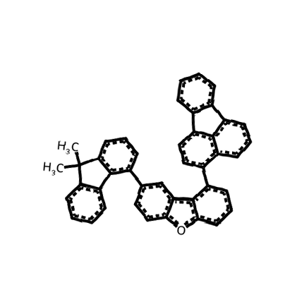 CC1(C)c2ccccc2-c2c(-c3ccc4oc5cccc(-c6ccc7c8c(cccc68)-c6ccccc6-7)c5c4c3)cccc21